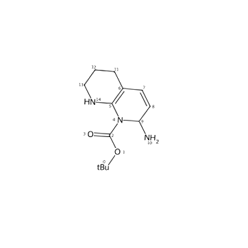 CC(C)(C)OC(=O)N1C2=C(C=CC1N)CCCN2